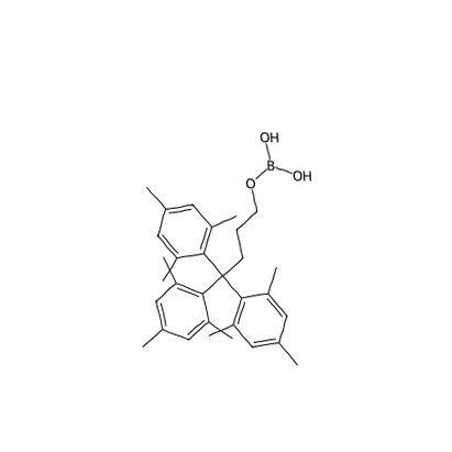 Cc1cc(C)c(C(CCCOB(O)O)(c2c(C)cc(C)cc2C)c2c(C)cc(C)cc2C)c(C)c1